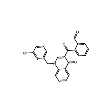 O=Cc1ccccc1C(=O)c1cn(Cc2cccc(Br)n2)c2ccccc2c1=O